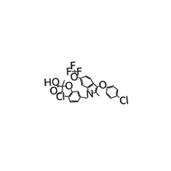 CCC(C)(Oc1cc(Cn2c(C)c(Oc3ccc(Cl)cc3)c3ccc(OC(F)(F)F)cc32)ccc1Cl)C(=O)O